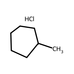 C[C]1CCCCC1.Cl